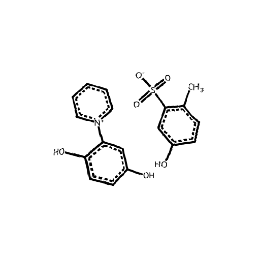 Cc1ccc(O)cc1S(=O)(=O)[O-].Oc1ccc(O)c(-[n+]2ccccc2)c1